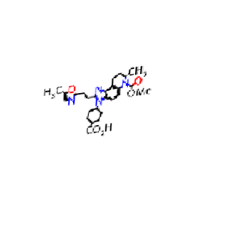 COC(=O)N1c2ccc3c(nc(CCc4ncc(C)o4)n3[C@H]3CC[C@H](C(=O)O)CC3)c2CC[C@@H]1C